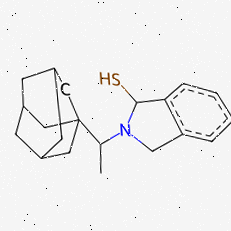 CC(N1Cc2ccccc2C1S)C12CC3CC(CC(C3)C1)C2